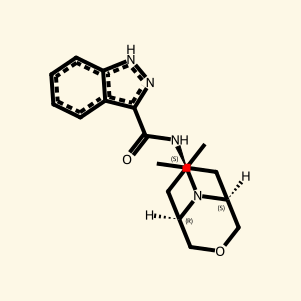 CC(C)N1[C@@H]2COC[C@H]1C[C@@H](NC(=O)c1n[nH]c3ccccc13)C2